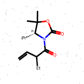 C=CC(CC)C(=O)N1C(=O)OC(C)(C)[C@H]1C(C)C